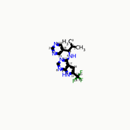 CC(C)[C@@H](Nc1ncnc2[nH]c(C(F)(F)F)cc12)c1cncnc1